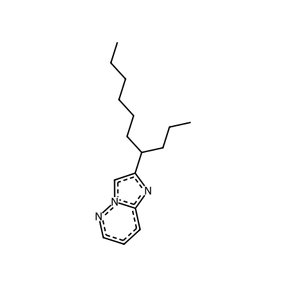 CCCCCCC(CCC)c1cn2ncccc2n1